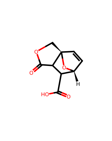 O=C(O)C1C2C(=O)OC[C@]23C=C[C@H]1O3